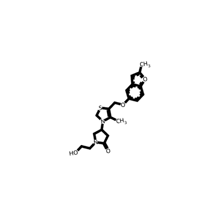 CC1=C(COc2ccc3oc(C)cc3c2)SCN1C1CC(=O)N(CCO)C1